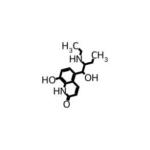 CCNC(CC)C(O)c1ccc(O)c2[nH]c(=O)ccc12